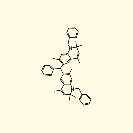 CC1=CC(C)(C)N(Cc2ccccc2)c2cc(C)c(C(c3ccccc3)c3cc4c(cc3C)N(Cc3ccccc3)C(C)(C)C=C4C)cc21